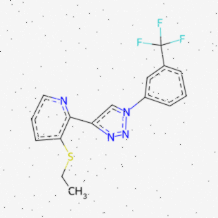 CCSc1cccnc1-c1cn(-c2cccc(C(F)(F)F)c2)nn1